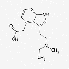 CCN(C)CCc1c[nH]c2cccc(CC(=O)O)c12